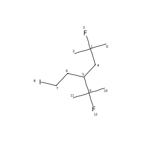 CC(C)(F)CC(CCI)C(C)(C)F